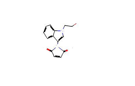 O=C1C=CC(=O)N1c1cn(CCO)c2ccccc12